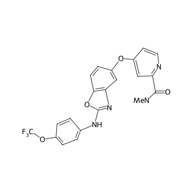 CNC(=O)c1cc(Oc2ccc3oc(Nc4ccc(OC(F)(F)F)cc4)nc3c2)ccn1